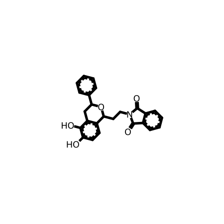 O=C1c2ccccc2C(=O)N1CCC1OC(c2ccccc2)Cc2c1ccc(O)c2O